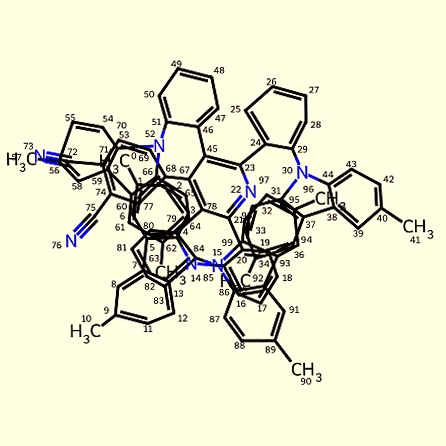 Cc1ccc2c(c1)c1cc(C)ccc1n2-c1ccccc1-c1nc(-c2ccccc2-n2c3ccc(C)cc3c3cc(C)ccc32)c(-c2ccccc2-n2c3ccc(C)cc3c3cc(C)ccc32)c(-c2ccc(C#N)c(C#N)c2)c1-c1ccccc1-n1c2ccc(C)cc2c2cc(C)ccc21